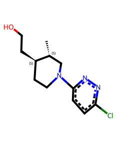 C[C@@H]1CN(c2ccc(Cl)nn2)CC[C@H]1CCO